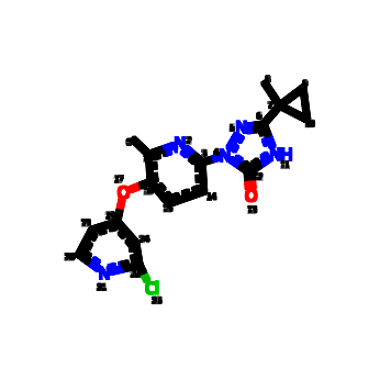 Cc1nc(-n2nc(C3(C)CC3)[nH]c2=O)ccc1Oc1ccnc(Cl)c1